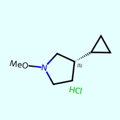 CON1CC[C@@H](C2CC2)C1.Cl